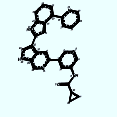 O=C(Nc1cncc(-c2cc3c(-c4cc5c(-c6ccccn6)cccc5[nH]4)n[nH]c3cn2)c1)C1CC1